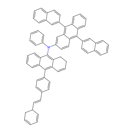 C1=CCC(/C=C/c2ccc(-c3c4c(c(N(c5ccccc5)c5ccc6c(-c7ccc8ccccc8c7)c7ccccc7c(-c7ccc8ccccc8c7)c6c5)c5ccccc35)CCC=C4)cc2)C=C1